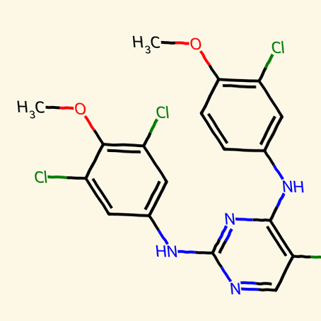 COc1ccc(Nc2nc(Nc3cc(Cl)c(OC)c(Cl)c3)ncc2F)cc1Cl